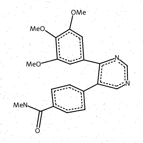 CNC(=O)c1ccc(-c2cncnc2-c2cc(OC)c(OC)c(OC)c2)cc1